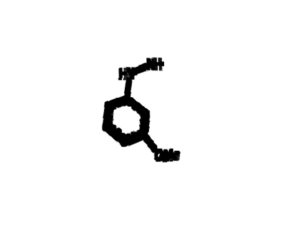 COc1cccc(N[NH])c1